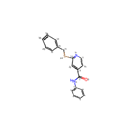 O=C(Nc1ccccc1)c1ccnc(SCc2ccccc2)c1